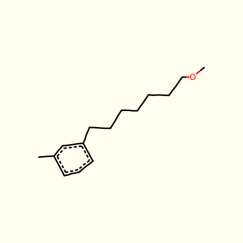 COCCCCCCCc1cccc(C)c1